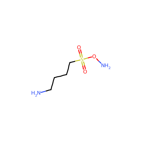 NCCCCS(=O)(=O)ON